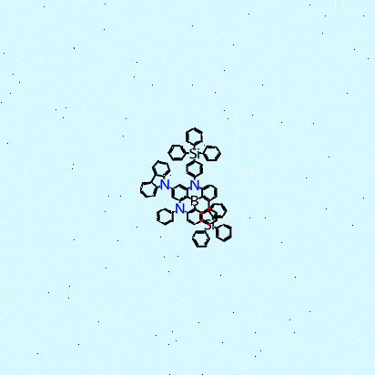 c1ccc(-c2cccc3c2B2c4cc([Si](c5ccccc5)(c5ccccc5)c5ccccc5)ccc4N(c4ccccc4)c4cc(-n5c6ccccc6c6ccccc65)cc(c42)N3c2ccc([Si](c3ccccc3)(c3ccccc3)c3ccccc3)cc2)cc1